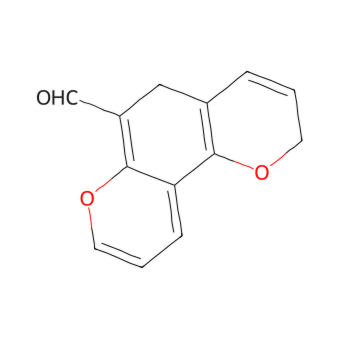 O=CC1=C2OC=CC=C2C2=C(C=CCO2)C1